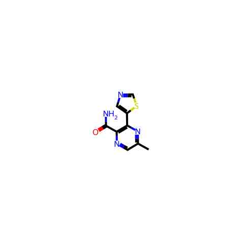 Cc1cnc(C(N)=O)c(-c2cncs2)n1